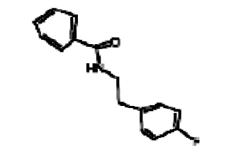 O=C(NCCc1ccc(F)cc1)c1ccccc1